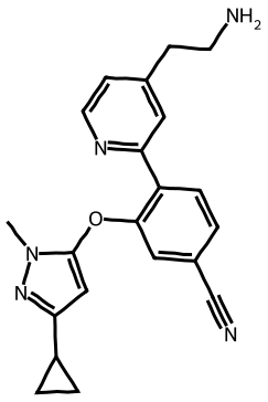 Cn1nc(C2CC2)cc1Oc1cc(C#N)ccc1-c1cc(CCN)ccn1